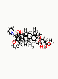 CC(C)C1=C2[C@H]3CCC4[C@@]5(C)CC[C@H](OC(=O)CC(C)(C)C(=O)O)C(C)(C)C5CC[C@@]4(C)[C@]3(C)CC[C@@]2([C@H](O)CN2CCCCC2)CC1=O